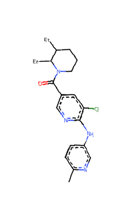 CCC1CCCN(C(=O)c2cnc(Nc3ccc(C)nc3)c(Cl)c2)C1CC